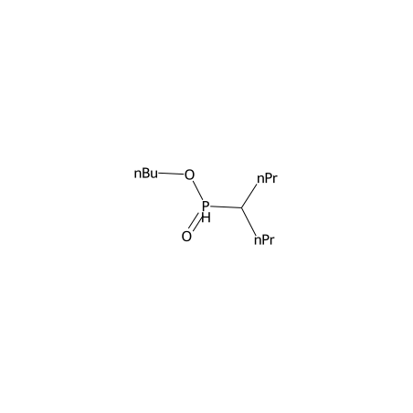 CCCCO[PH](=O)C(CCC)CCC